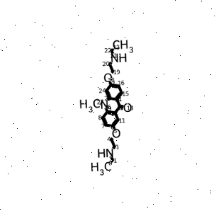 CCNCCOc1ccc2c(c1)c(=O)c1ccc(OCCNCC)cc1n2C